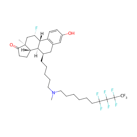 CN(CCCCCCC(F)(F)C(F)(F)C(F)(F)C(F)(F)F)CCCCC[C@@H]1Cc2cc(O)ccc2[C@@H]2[C@@H]1[C@@H]1CCC(=O)[C@@]1(C)C[C@@H]2F